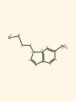 O=[N+]([O-])c1ccc2ccn(CCCBr)c2c1